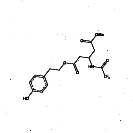 COC(=O)CC(CC(=O)OCCc1ccc(O)cc1)NC(=O)C(F)(F)F